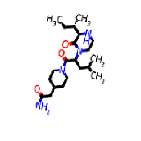 CC[C@H](C)C1NCCN(C(CC(C)C)C(=O)N2CCC(CC(N)=O)CC2)C1=O